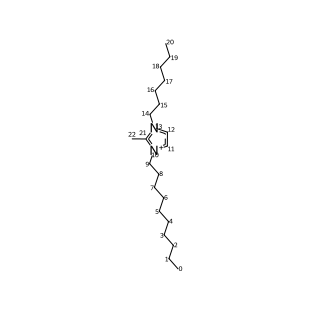 CCCCCCCCCC[n+]1ccn(CCCCCCC)c1C